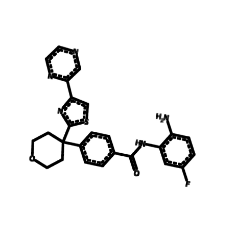 Nc1ccc(F)cc1NC(=O)c1ccc(C2(c3nc(-c4cnccn4)cs3)CCOCC2)cc1